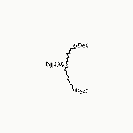 CCCCCCCCCCCCCCCCCCCC(CNC(C)=O)SCCCCCCCCCCCCCCCCCC